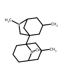 CC1CC2CC(C34CCCC(CC(C)C3)N4C)(C1)CN2C